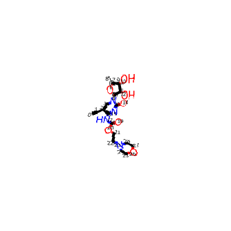 C#Cc1cn([C@@H]2O[C@H](C)C(O)C2O)c(=O)nc1NC(=O)OCCN1CCOCC1